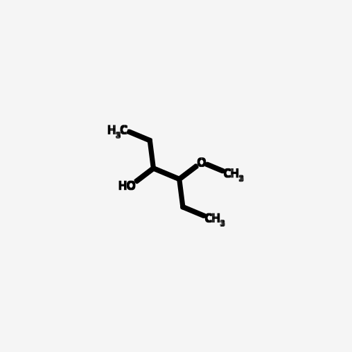 CCC(O)C(CC)OC